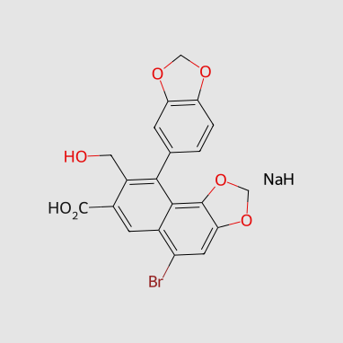 O=C(O)c1cc2c(Br)cc3c(c2c(-c2ccc4c(c2)OCO4)c1CO)OCO3.[NaH]